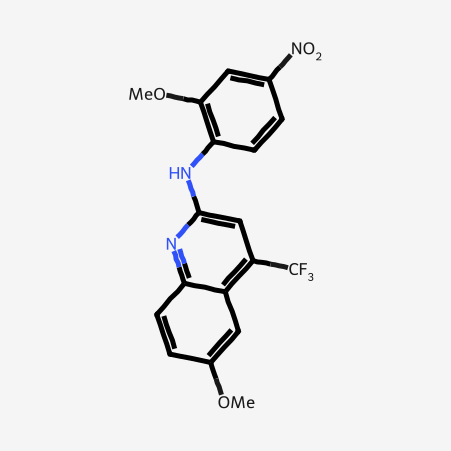 COc1ccc2nc(Nc3ccc([N+](=O)[O-])cc3OC)cc(C(F)(F)F)c2c1